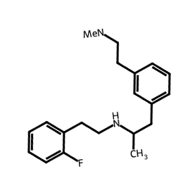 CNCCc1cccc(CC(C)NCCc2ccccc2F)c1